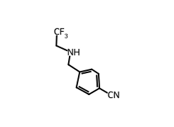 N#Cc1ccc(CNCC(F)(F)F)cc1